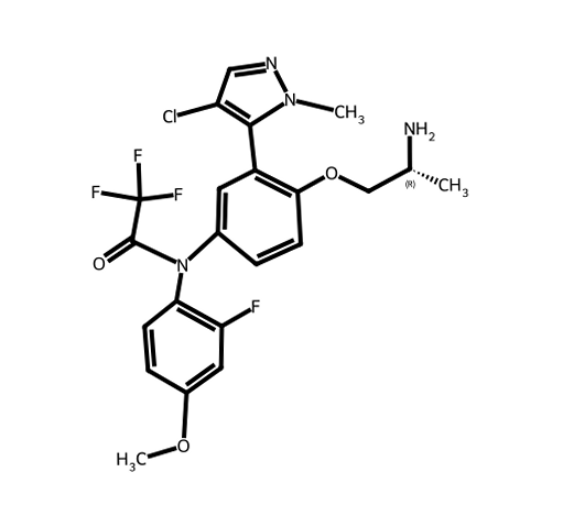 COc1ccc(N(C(=O)C(F)(F)F)c2ccc(OC[C@@H](C)N)c(-c3c(Cl)cnn3C)c2)c(F)c1